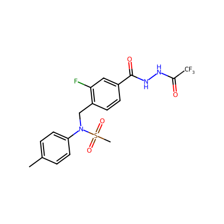 Cc1ccc(N(Cc2ccc(C(=O)NNC(=O)C(F)(F)F)cc2F)S(C)(=O)=O)cc1